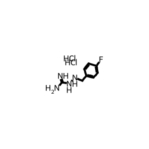 Cl.Cl.N=C(N)NNCc1ccc(F)cc1